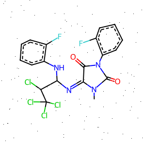 CN1C(=O)N(c2ccccc2F)C(=O)C1=NC(Nc1ccccc1F)C(Cl)C(Cl)(Cl)Cl